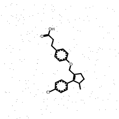 CC1CCC(COc2ccc(CCC(=O)O)cc2)=C1c1ccc(Cl)cc1